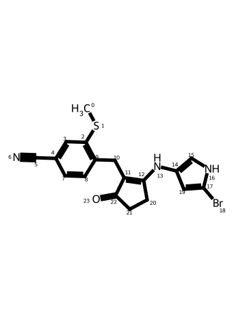 CSc1cc(C#N)ccc1CC1=C(Nc2c[nH]c(Br)c2)CCC1=O